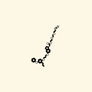 CCCc1cc(Oc2ccccc2)ccc1OCCCOc1ccc2c(c1)CC[C@H]2CC(=O)OCCOCCOCCN=[N+]=[N-]